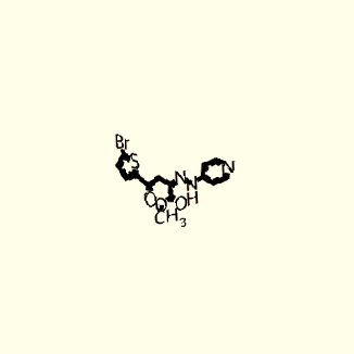 COC(=O)C(CC(=O)c1ccc(Br)s1)=NNc1ccncc1